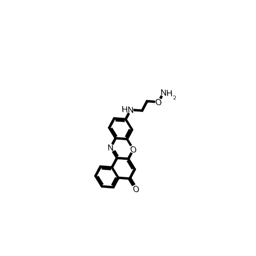 NOCCNc1ccc2nc3c4ccccc4c(=O)cc-3oc2c1